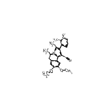 COc1cc2c(cc1OC)-c1c(C#N)c(-c3ccc[n+]([O-])c3C)c(C)n1C(C)C2